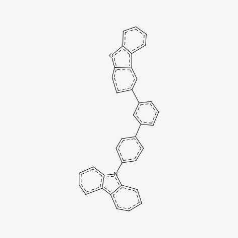 c1cc(-c2ccc(-n3c4ccccc4c4ccccc43)cc2)cc(-c2ccc3oc4ccccc4c3c2)c1